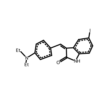 CCN(CC)c1ccc(C=C2C(=O)Nc3ccc(I)cc32)cc1